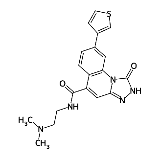 CN(C)CCNC(=O)c1cc2n[nH]c(=O)n2c2cc(-c3ccsc3)ccc12